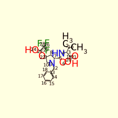 CC(C)[C@H](NC(=O)[C@@H]1CCCN1Cc1ccccc1)C(=O)O.O=C(O)C(F)(F)F